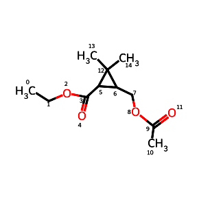 CCOC(=O)C1C(COC(C)=O)C1(C)C